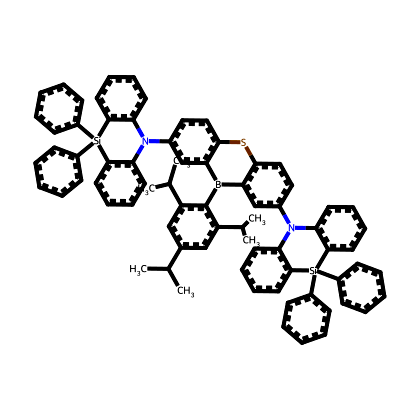 CC(C)c1cc(C(C)C)c(B2c3cc(N4c5ccccc5[Si](c5ccccc5)(c5ccccc5)c5ccccc54)ccc3Sc3ccc(N4c5ccccc5[Si](c5ccccc5)(c5ccccc5)c5ccccc54)cc32)c(C(C)C)c1